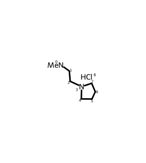 CNCCN1CCCC1.Cl